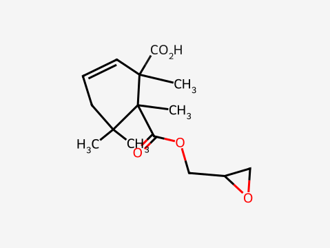 CC1(C)CC=CC(C)(C(=O)O)C1(C)C(=O)OCC1CO1